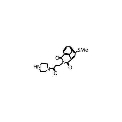 CSC1=C2C=CC3=C(C2)C(=C1)C(=O)N(CCC(=O)N1CCNCC1)C3=O